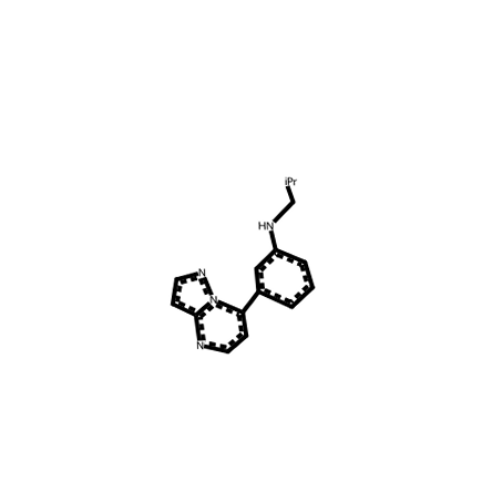 CC(C)CNc1cccc(-c2ccnc3ccnn23)c1